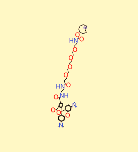 CN(C)c1ccc2c(c1)Oc1cc(N(C)C)ccc1C21OC(=O)c2cc(C(=O)NCCNC(=O)CCOCCOCCOCCOCCNC(=O)OC3CC/C=C/CCC3)ccc21